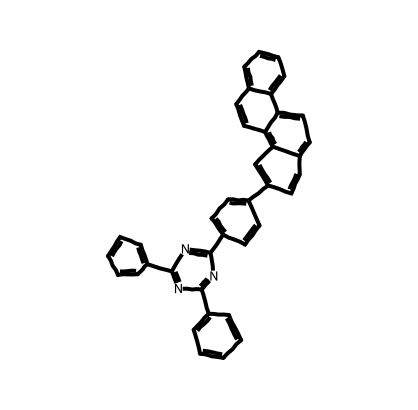 c1ccc(-c2nc(-c3ccccc3)nc(-c3ccc(-c4ccc5ccc6c7ccccc7ccc6c5c4)cc3)n2)cc1